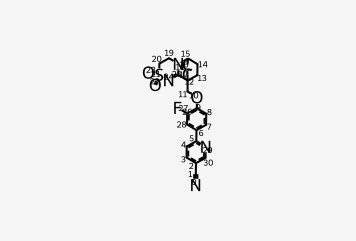 N#Cc1ccc(-c2ccc(OCC34CCC(CC3)N3CCS(=O)(=O)N=C34)c(F)c2)nc1